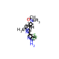 CC(=O)N(C)C1C[C@@H]2[C@H](C1)[C@H]2c1cc(-c2cnc(N)c(C(F)(F)F)c2)nn1C(C)C